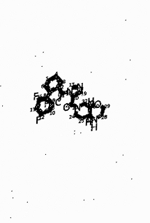 C[C@@H](c1ccccc1-c1ccc(F)cc1F)n1cncc1C(=O)N1CC[C@H]2NCCO[C@@H]2C1